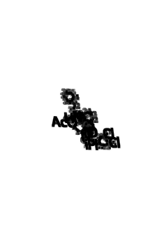 CC(=O)O[C@@]12CC[C@@H](N(CC(C)C)C(=O)Cc3ccc(Cl)c(Cl)c3)[C@@H]3Oc4cccc5c4[C@@]31CCN(CCc1ccccc1)[C@@H]2C5